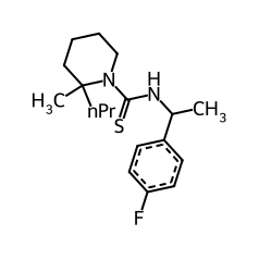 CCCC1(C)CCCCN1C(=S)NC(C)c1ccc(F)cc1